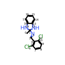 CC1(N=Cc2c(Cl)cccc2Cl)Nc2ccccc2N1